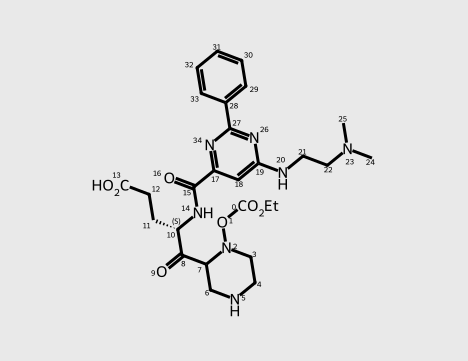 CCOC(=O)ON1CCNCC1C(=O)[C@H](CCC(=O)O)NC(=O)c1cc(NCCN(C)C)nc(-c2ccccc2)n1